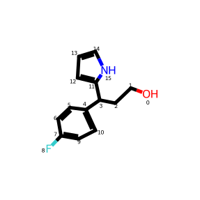 OCCC(c1ccc(F)cc1)c1ccc[nH]1